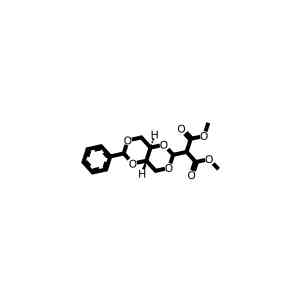 COC(=O)C(C(=O)OC)C1OC[C@@H]2OC(c3ccccc3)OC[C@H]2O1